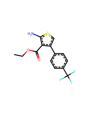 CCOC(=O)c1c(-c2ccc(C(F)(F)F)cc2)csc1N